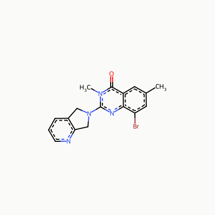 Cc1cc(Br)c2nc(N3Cc4cccnc4C3)n(C)c(=O)c2c1